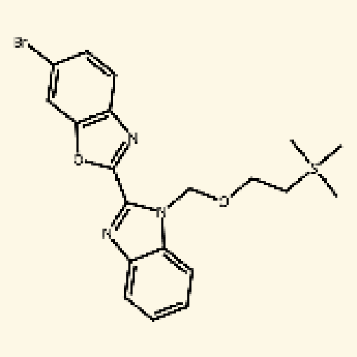 CS(C)(C)CCOCn1c(-c2nc3ccc(Br)cc3o2)nc2ccccc21